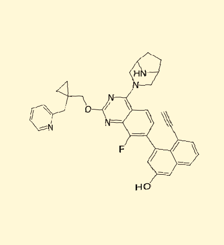 C#Cc1cccc2cc(O)cc(-c3ccc4c(N5CC6CCC(C5)N6)nc(OCC5(Cc6ccccn6)CC5)nc4c3F)c12